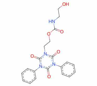 O=C(NCCO)OCCn1c(=O)n(-c2ccccc2)c(=O)n(-c2ccccc2)c1=O